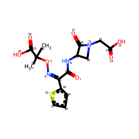 CC(C)(ON=C(C(=O)NC1CN(CC(=O)O)C1=O)c1cccs1)C(=O)O